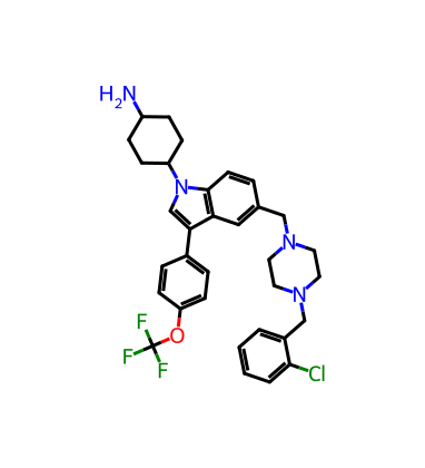 NC1CCC(n2cc(-c3ccc(OC(F)(F)F)cc3)c3cc(CN4CCN(Cc5ccccc5Cl)CC4)ccc32)CC1